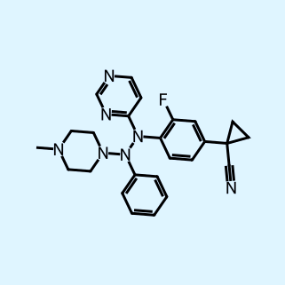 CN1CCN(N(c2ccccc2)N(c2ccncn2)c2ccc(C3(C#N)CC3)cc2F)CC1